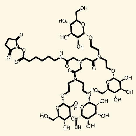 O=C(CN(CC(=O)N(CCO[C@H]1O[C@H](CO)[C@@H](O)[C@H](O)[C@@H]1O)CCO[C@H]1O[C@H](CO)[C@@H](O)[C@H](O)[C@@H]1O)CC(=O)N(CCO[C@H]1O[C@H](CO)[C@@H](O)[C@H](O)[C@@H]1O)CCO[C@@H]1O[C@@H](CO)[C@H](O)[C@@H](O)[C@H]1O)NCCCCCC(=O)ON1C(=O)CCC1=O